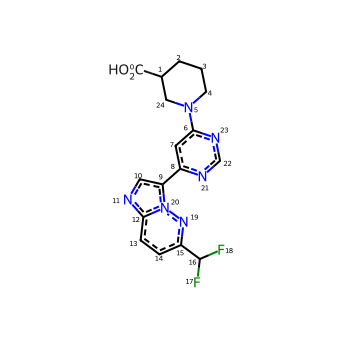 O=C(O)C1CCCN(c2cc(-c3cnc4ccc(C(F)F)nn34)ncn2)C1